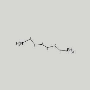 BCCCCCCN